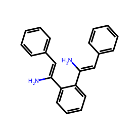 NC(=Cc1ccccc1)c1ccccc1C(N)=Cc1ccccc1